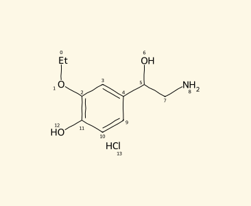 CCOc1cc(C(O)CN)ccc1O.Cl